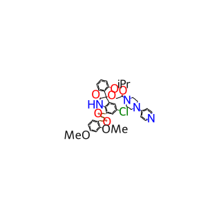 COc1ccc(S(=O)(=O)c2cc(Cl)cc3c2NC(=O)C3(OCC(=O)N2CCN(c3ccncc3)CC2)c2ccccc2OC(C)C)c(OC)c1